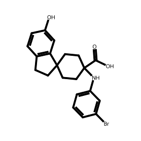 O=C(O)C1(Nc2cccc(Br)c2)CCC2(CCc3ccc(O)cc32)CC1